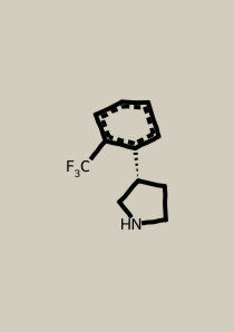 FC(F)(F)c1ccccc1[C@@H]1CCNC1